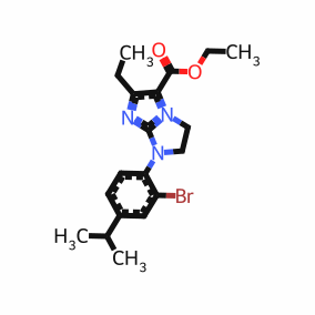 CCOC(=O)c1c(CC)nc2n1CCN2c1ccc(C(C)C)cc1Br